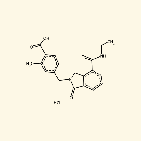 CCNC(=O)c1nccc2c1CN(Cc1ccc(C(=O)O)c(C)c1)C2=O.Cl